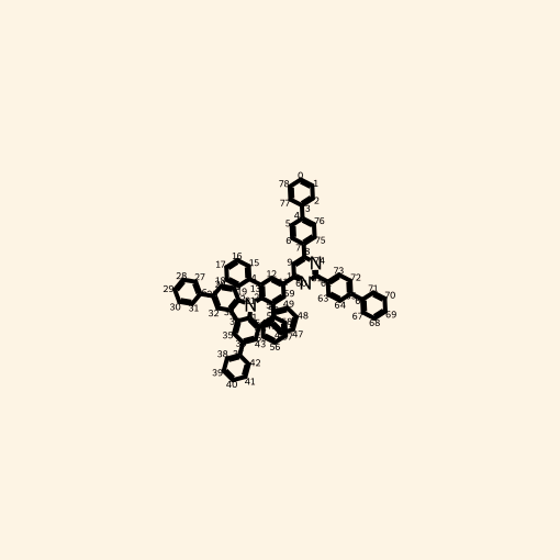 c1ccc(-c2ccc(-c3cc(-c4cc(-c5ccccc5)c(-n5c6ccc(-c7ccccc7)cc6c6cc(-c7ccccc7)cc(-c7ccccc7)c65)c(-c5ccccc5)c4)nc(-c4ccc(-c5ccccc5)cc4)n3)cc2)cc1